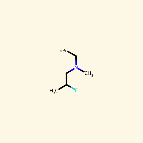 CCCCN(C)CC(C)F